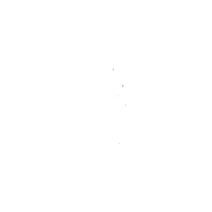 CCCN1NC(C(C)C)=C(C(=O)OCC)C1Cc1ccc(Br)cc1